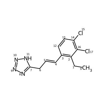 CCc1c(/C=C/Cc2nnn[nH]2)ccc(Cl)c1Cl